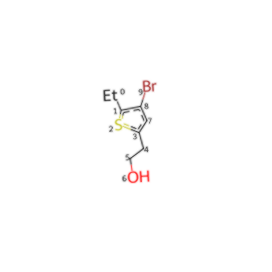 CCc1sc(CCO)cc1Br